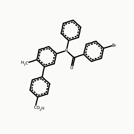 Cc1ccc(N(C(=O)c2ccc(Br)cc2)c2ccccc2)cc1-c1ccc(C(=O)O)cc1